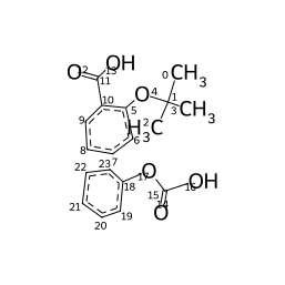 CC(C)(C)Oc1ccccc1C(=O)O.O=C(O)Oc1ccccc1